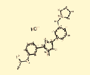 Cl.FC(F)Oc1cccc(-c2nc(-c3cccc(CN4CCCC4)c3)n[nH]2)c1